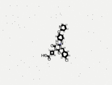 O=c1[nH]/c(=N\c2ccc(Oc3ccccn3)cc2)n(Cc2ccc(Cl)cc2)c(=O)n1[C@H]1C[C@@H](C(=O)O)C1